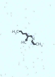 C#CC(/C=N\C=C/C)=C\CCC